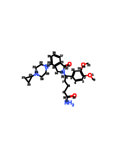 COc1ccc([C@@H](CCCC(N)=O)N2Cc3c(cccc3N3CCN(C4CC4)CC3)C2=O)cc1OC